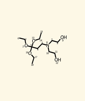 CCOC(CCN(CCO)CCO)(OCC)OCC